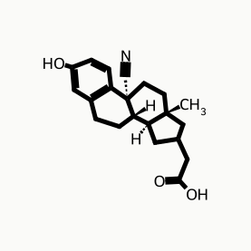 C[C@]12CC[C@]3(C#N)c4ccc(O)cc4CC[C@H]3[C@@H]1CC(CC(=O)O)C2